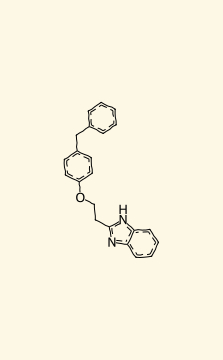 c1ccc(Cc2ccc(OCCc3nc4ccccc4[nH]3)cc2)cc1